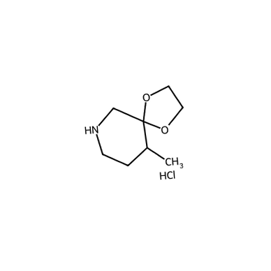 CC1CCNCC12OCCO2.Cl